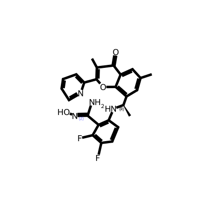 Cc1cc([C@@H](C)Nc2ccc(F)c(F)c2/C(N)=N/O)c2oc(-c3ccccn3)c(C)c(=O)c2c1